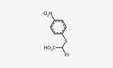 CCC(Sc1ccc([N+](=O)[O-])cc1)C(=O)O